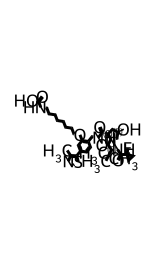 Cc1ncsc1-c1ccc(CNC(=O)[C@@H]2C[C@@H](O)CN2C(=O)[C@@H](NC(=O)C2(F)CC2)C(C)(C)C)c(OCCCCCCCCNC(=O)O)c1